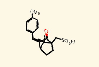 COc1ccc(C=C2C(=O)C3(CS(=O)(=O)O)CCC2C3(C)C)cc1